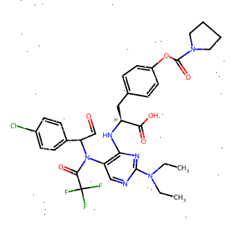 CCN(CC)c1ncc(N(C(=O)C(F)(F)F)C(C=O)c2ccc(Cl)cc2)c(N[C@@H](Cc2ccc(OC(=O)N3CCCC3)cc2)C(=O)O)n1